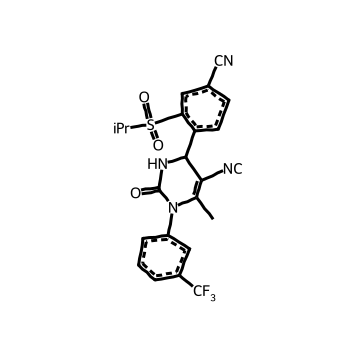 [C-]#[N+]C1=C(C)N(c2cccc(C(F)(F)F)c2)C(=O)NC1c1ccc(C#N)cc1S(=O)(=O)C(C)C